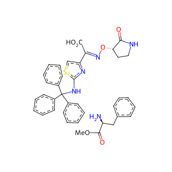 COC(=O)[C@@H](N)Cc1ccccc1.O=C(O)C(=NO[C@H]1CCNC1=O)c1csc(NC(c2ccccc2)(c2ccccc2)c2ccccc2)n1